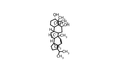 CC(C)C1=C2C=C[C@]3(C)[C@H](CC[C@@H]4[C@@]5(C)CC[C@H](O)C(C)(C)[C@@H]5[C@@H](O)C[C@]43C)[C@@]2(C)CC1